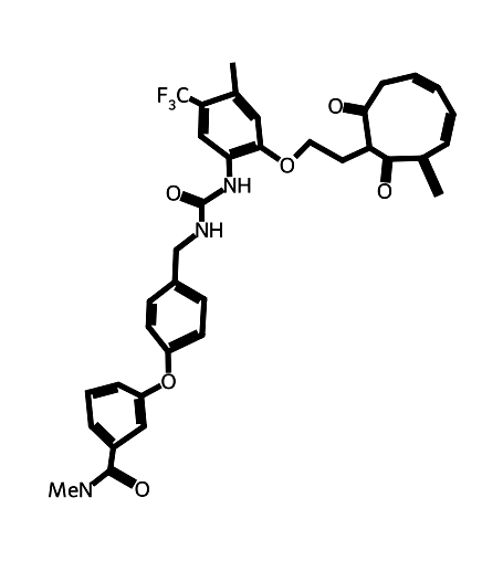 C=C1/C=C\C=C/CC(=O)C(CCOc2cc(C)c(C(F)(F)F)cc2NC(=O)NCc2ccc(Oc3cccc(C(=O)NC)c3)cc2)C1=O